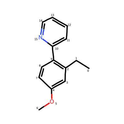 CCc1cc(OC)ccc1-c1ccccn1